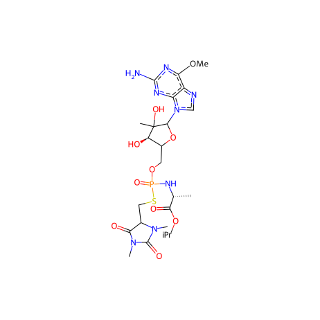 COc1nc(N)nc2c1ncn2C1OC(COP(=O)(N[C@H](C)C(=O)OC(C)C)SCC2C(=O)N(C)C(=O)N2C)[C@@H](O)C1(C)O